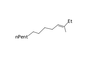 CCCCCCCCCC=C(C)CC